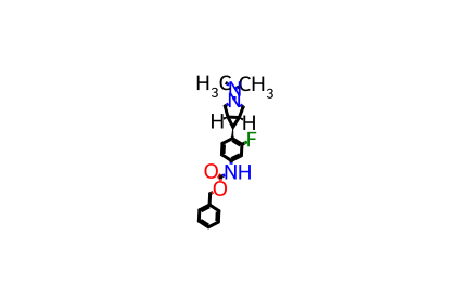 CN(C)N1C[C@@H]2[C@H](C1)[C@H]2c1ccc(NC(=O)OCc2ccccc2)cc1F